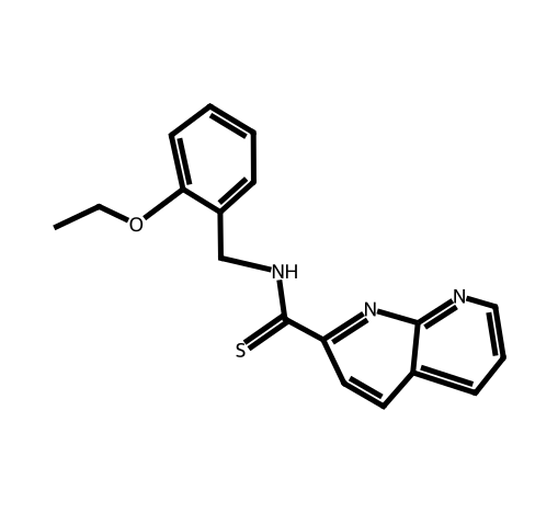 CCOc1ccccc1CNC(=S)c1ccc2cccnc2n1